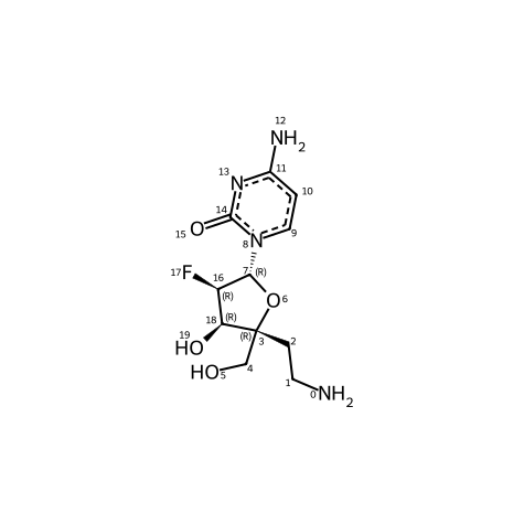 NCC[C@]1(CO)O[C@@H](n2ccc(N)nc2=O)[C@H](F)[C@@H]1O